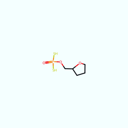 O=P(S)(S)OCC1CCCO1